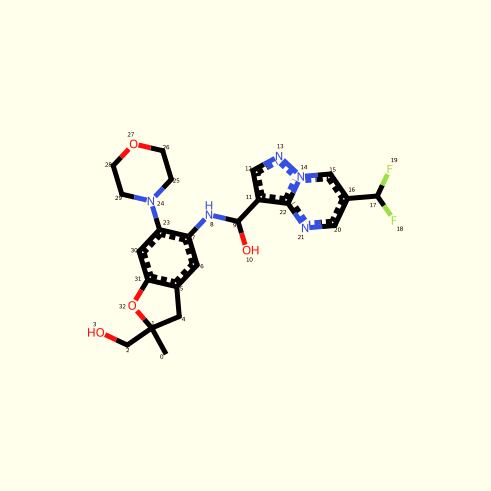 CC1(CO)Cc2cc(NC(O)c3cnn4cc(C(F)F)cnc34)c(N3CCOCC3)cc2O1